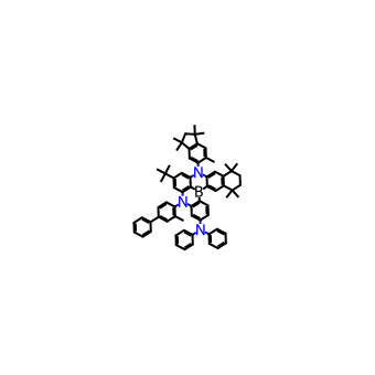 Cc1cc(-c2ccccc2)ccc1N1c2cc(N(c3ccccc3)c3ccccc3)ccc2B2c3cc4c(cc3N(c3cc5c(cc3C)C(C)(C)CC5(C)C)c3cc(C(C)(C)C)cc1c32)C(C)(C)CCC4(C)C